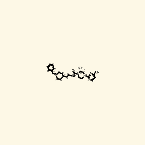 C[C@@H]1CN(c2nccc(C#N)n2)CCN1C(=O)NCCC1CCN(Cc2ccccc2)CC1